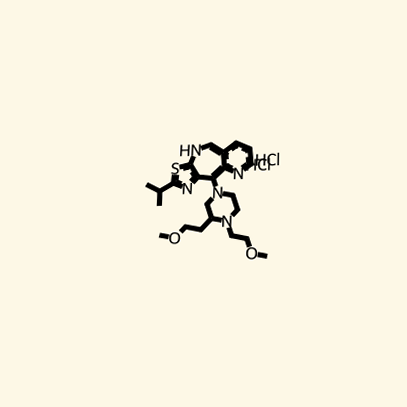 COCCC1CN(C2=c3ncccc3=CNc3sc(C(C)C)nc32)CCN1CCOC.Cl.Cl